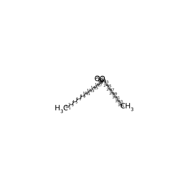 CCCCCCCCCCCCCCCCCC[C@H]1C(=O)O[C@@H]1CCCCCCCCCCCCC